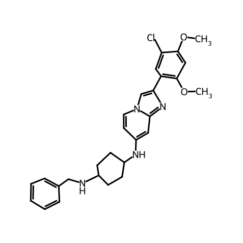 COc1cc(OC)c(-c2cn3ccc(NC4CCC(NCc5ccccc5)CC4)cc3n2)cc1Cl